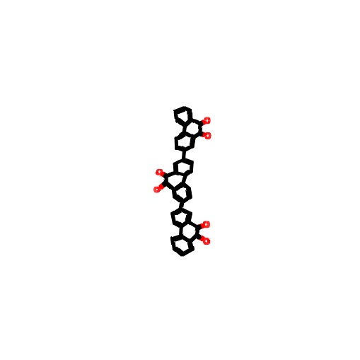 O=C1C(=O)c2cc(-c3ccc4c(c3)C(=O)C(=O)c3cc(-c5ccc6c(c5)C(=O)C(=O)c5ccccc5-6)ccc3-4)ccc2-c2ccccc21